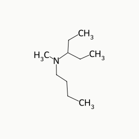 CCCCN(C)C(CC)CC